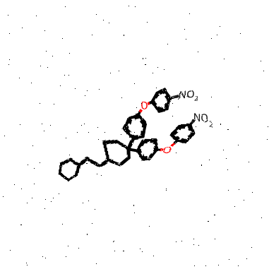 O=[N+]([O-])c1ccc(Oc2ccc(C3(c4ccc(Oc5ccc([N+](=O)[O-])cc5)cc4)CCC(CCC4CCCCC4)CC3)cc2)cc1